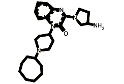 NC1CCN(c2nc3ccccc3n(C3CCN(C4CCCCCCC4)CC3)c2=O)C1